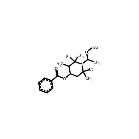 CCCCOC(C)N1C(C)(CC)CC(OC(=O)c2ccccc2)C(C)C1(C)CC